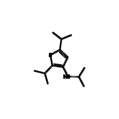 CC(C)Nc1cc(C(C)C)sc1C(C)C